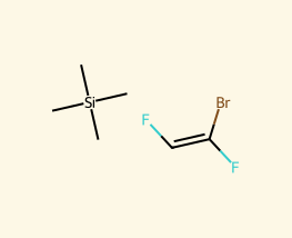 C[Si](C)(C)C.FC=C(F)Br